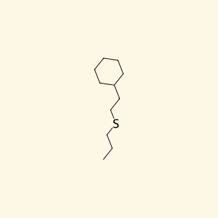 CCCSCCC1CCCCC1